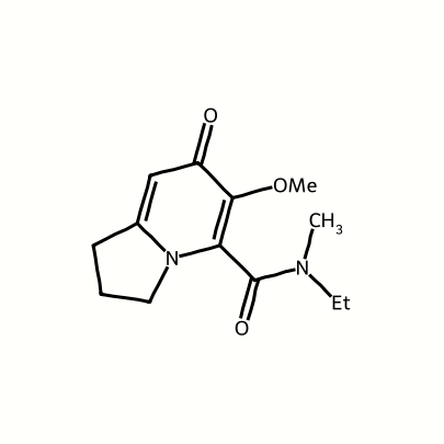 CCN(C)C(=O)c1c(OC)c(=O)cc2n1CCC2